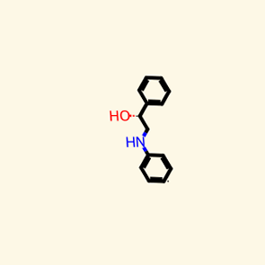 O[C@@H](CNc1cc[c]cc1)c1ccccc1